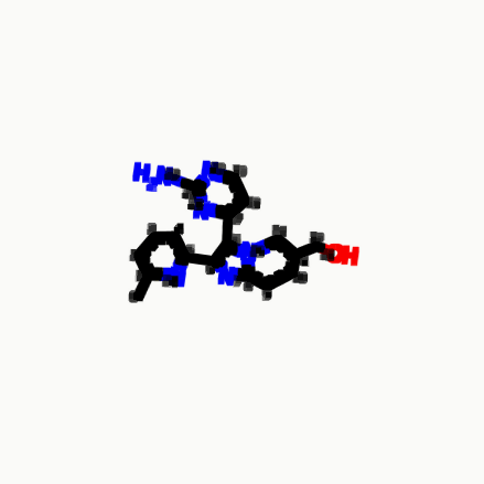 Cc1cccc(-c2nc3ccc(CO)cn3c2-c2ccnc(N)n2)n1